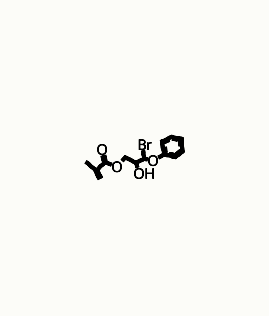 C=C(C)C(=O)OCC(O)C(Br)Oc1ccccc1